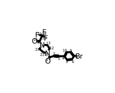 O=C(C#Cc1ccc(Br)cc1)N1CCN(C(=O)C(F)(F)F)CC1